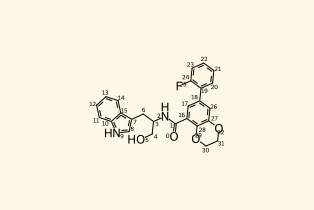 O=C(NC(CO)Cc1c[nH]c2ccccc12)c1cc(-c2ccccc2F)cc2c1OCCO2